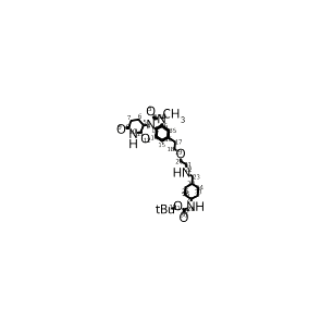 Cn1c(=O)n(C2CCC(=O)NC2=O)c2ccc(CCOCCNCC3CCC(NC(=O)OC(C)(C)C)CC3)cc21